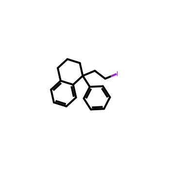 ICCC1(c2ccccc2)CCCc2ccccc21